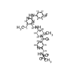 CCc1cnc(Nc2ccc(F)cc2)nc1CN[C@@H]1CCN(C(=O)c2ccnc(CNS(C)(=O)=O)c2)[C@H](C)C1